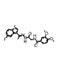 COc1ccc(C(=O)NCC(=O)N/N=C(\C)c2csc3ccc(F)cc23)cc1OC